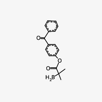 BC(C)(C)C(=O)Oc1ccc(C(=O)c2ccccc2)cc1